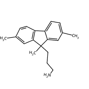 Cc1ccc2c(c1)C(C)(CCCN)c1cc(C)ccc1-2